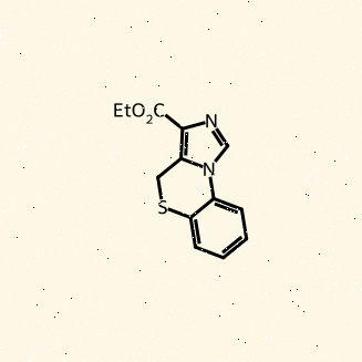 CCOC(=O)c1ncn2c1CSc1ccccc1-2